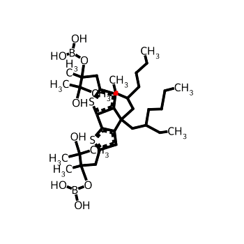 CCCCC(CC)CC1(CC(CC)CCCC)c2cc(CC(C)(OB(O)O)C(C)(C)O)sc2-c2sc(CC(C)(OB(O)O)C(C)(C)O)cc21